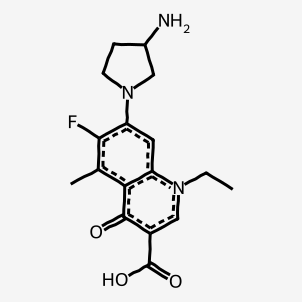 CCn1cc(C(=O)O)c(=O)c2c(C)c(F)c(N3CCC(N)C3)cc21